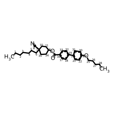 CCCCCCCC1(C#N)CCC(OC(=O)c2ccc(-c3ccc(OCCCCC)cc3)cc2)CC1